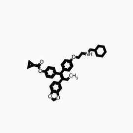 CCC(=C(c1ccc(OCCNCC2CCCCC2)cc1)c1ccc(OC(=O)C2CC2)cc1)c1ccc2c(c1)OCO2